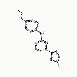 CCOc1ccc(Nc2nccc(-c3ncc(C)s3)n2)cc1